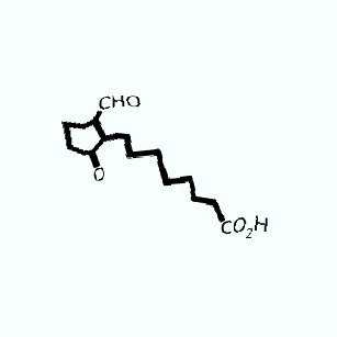 O=CC1CCC(=O)C1CCCCCCCC(=O)O